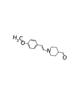 COc1ccc(C=CN2CCC(C=O)CC2)cc1